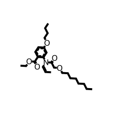 C/C=C\N(C(=O)COCCCCCCCC)c1cc(OCCCC)ccc1C(=O)OCC